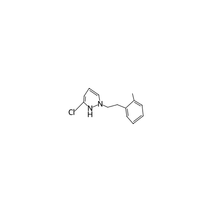 Cc1ccccc1CCN1C=CC=C(Cl)N1